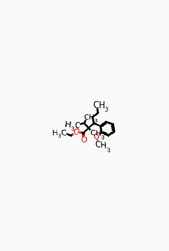 CCCC(c1ccccc1OC)C(C)(C(=O)OCC)C(C)C